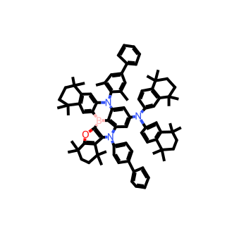 Cc1cc(-c2ccccc2)cc(C)c1N1c2cc3c(cc2B2c4oc5c(c4N(c4ccc(-c6ccccc6)cc4)c4cc(N(c6ccc7c(c6)C(C)(C)CCC7(C)C)c6ccc7c(c6)C(C)(C)CCC7(C)C)cc1c42)C(C)(C)CCC5(C)C)C(C)(C)CCC3(C)C